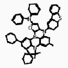 CC1C=C2C3=C(C1)N(C1C=C4C5=C(CCC=C5)SC4CC1)C1C=C(N(C4=CC=CCC4)c4ccccc4)OC1B3C1C=C(C3CCCCC3)CC3C1N2C(C)(C)C31CCCCC1